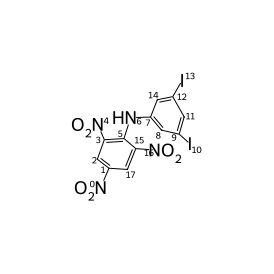 O=[N+]([O-])c1cc([N+](=O)[O-])c(Nc2cc(I)cc(I)c2)c([N+](=O)[O-])c1